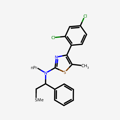 CCCN(c1nc(-c2ccc(Cl)cc2Cl)c(C)s1)C(CSC)c1ccccc1